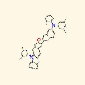 Cc1cc(C)cc(N(c2ccc3cc4c(cc3c2)oc2cc3cc(N(c5cc(C)cc(C)c5)c5ccccc5C)ccc3cc24)c2ccccc2C)c1